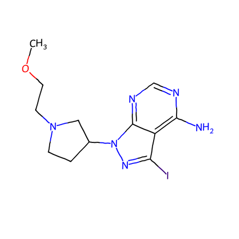 COCCN1CCC(n2nc(I)c3c(N)ncnc32)C1